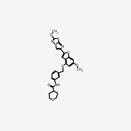 COc1cc(OCc2cccc(NC(=O)C3CCOCC3)c2)c2cc(-c3cn4nc(OC)sc4n3)oc2c1